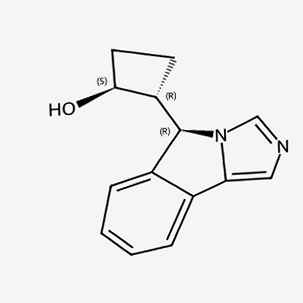 O[C@H]1CC[C@@H]1[C@@H]1c2ccccc2-c2cncn21